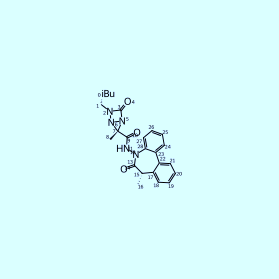 CC[C@@H](C)Cn1c(=O)n2n1[C@@]2(C)C(=O)NN1C(=O)[C@@H](C)c2ccccc2-c2ccccc21